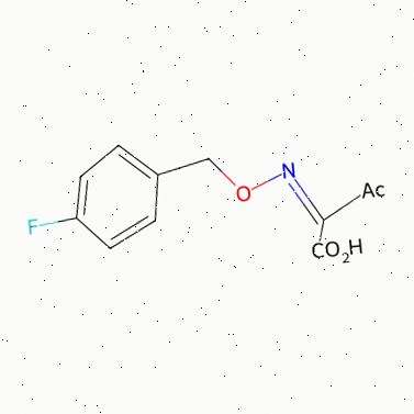 CC(=O)C(=NOCc1ccc(F)cc1)C(=O)O